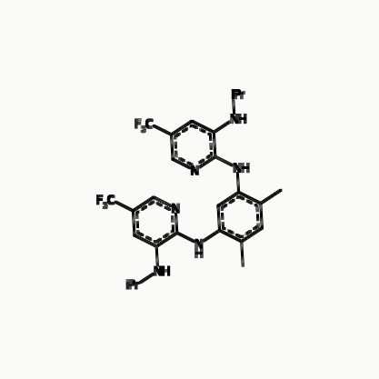 Cc1cc(C)c(Nc2ncc(C(F)(F)F)cc2NC(C)C)cc1Nc1ncc(C(F)(F)F)cc1NC(C)C